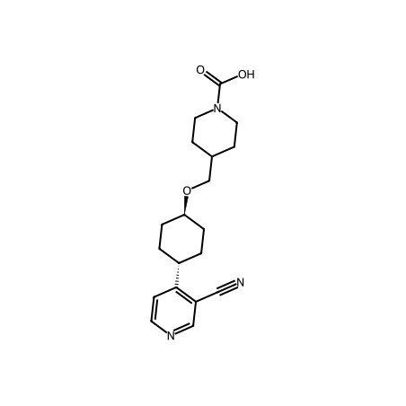 N#Cc1cnccc1[C@H]1CC[C@H](OCC2CCN(C(=O)O)CC2)CC1